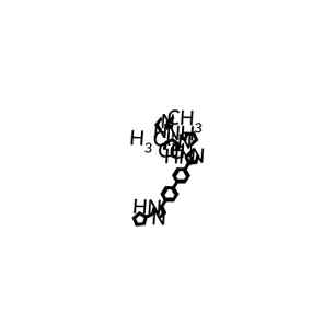 CC(C)[C@@H](NC1=NCCN1C)C(=O)N1CCC[C@H]1c1ncc(-c2ccc(-c3ccc(-c4cnc(C5CCCC5)[nH]4)cc3)cc2)[nH]1